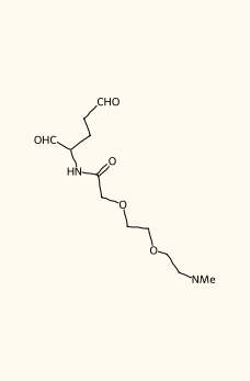 CNCCOCCOCC(=O)NC(C=O)CCC=O